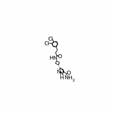 NC(=O)c1cc([C@H]2C[C@@H](NC(=O)CCc3ccc(Cl)c(Cl)c3)C2)n[nH]1